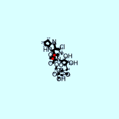 CC1(C(=O)OCOP(=O)(O)CS(=O)(=O)C[C@H]2O[C@@H](n3ccc4c(NC5CCCC5)c(C#N)c(Cl)nc43)[C@H](O)[C@@H]2O)COC1